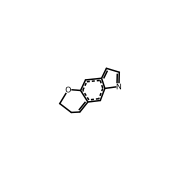 C1=Nc2cc3c(cc2=C1)OCCC=3